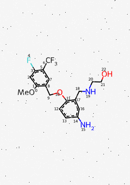 COc1cc(F)c(C(F)(F)F)cc1COc1ccc(N)cc1CNCCO